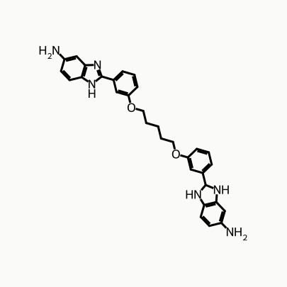 Nc1ccc2c(c1)NC(c1cccc(OCCCCCOc3cccc(-c4nc5cc(N)ccc5[nH]4)c3)c1)N2